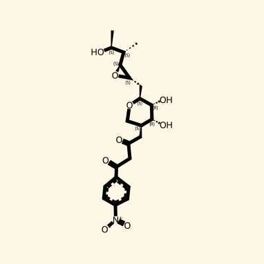 C[C@H]([C@@H]1O[C@H]1C[C@@H]1OC[C@H](CC(=O)CC(=O)c2ccc([N+](=O)[O-])cc2)[C@@H](O)[C@H]1O)[C@H](C)O